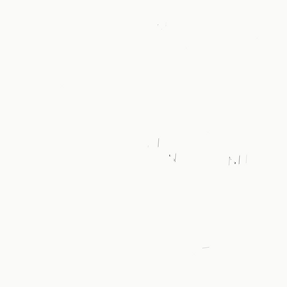 COc1cccc(C2=NCC(O)CN2)c1C(S)c1cccc2ccccc12